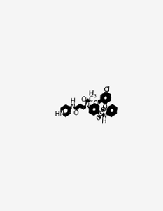 CC(=O)N(CCC(=O)NC1CCNCC1)c1ccc(S(=O)(=O)Nc2ccccc2Oc2ccc(Cl)cc2Cl)cc1